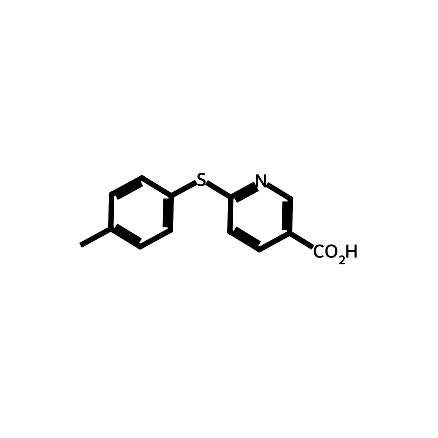 Cc1ccc(Sc2ccc(C(=O)O)cn2)cc1